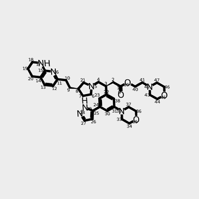 O=C(C[C@H](CN1CC[C@@H](CCc2ccc3c(n2)NCCC3)C1)c1cc(-c2ccn[nH]2)cc(N2CCOCC2)c1)OCCN1CCOCC1